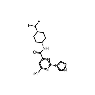 CC(C)c1cc(C(=O)N[C@H]2CC[C@H](C(F)F)CC2)nc(-n2ccnc2)n1